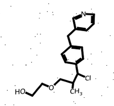 CC(COCCO)C(Cl)c1ccc(Cc2cccnc2)cc1